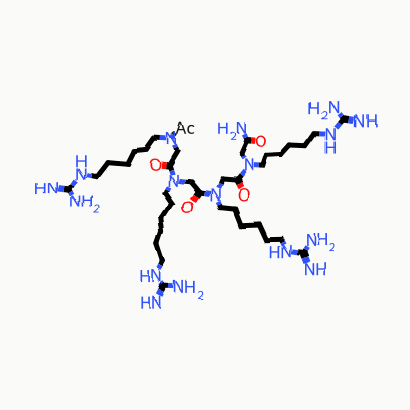 CC(=O)N(CCCCCCNC(=N)N)CC(=O)N(CCCCCCNC(=N)N)CC(=O)N(CCCCCCNC(=N)N)CC(=O)N(CCCCCCNC(=N)N)CC(N)=O